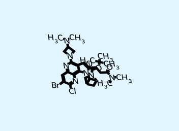 CN(C)C(=O)CCc1cc2c(N3CC(N(C)C)C3)nc3cc(Br)c(Cl)nc3c2n1C1C2CC1N(C(=O)OC(C)(C)C)C2